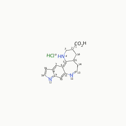 Cl.O=C(O)C1CNC2=c3cc4c(cc3N=CCC2C1)=NC=C4